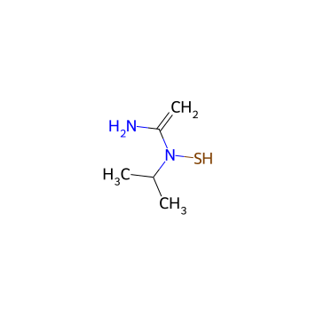 C=C(N)N(S)C(C)C